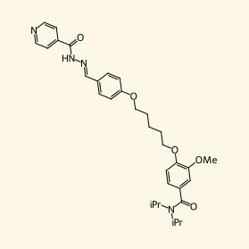 COc1cc(C(=O)N(C(C)C)C(C)C)ccc1OCCCCCOc1ccc(C=NNC(=O)c2ccncc2)cc1